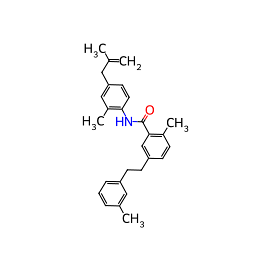 C=C(C)Cc1ccc(NC(=O)c2cc(CCc3cccc(C)c3)ccc2C)c(C)c1